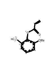 C=CC(=O)Oc1c(OC)cccc1C(=O)O